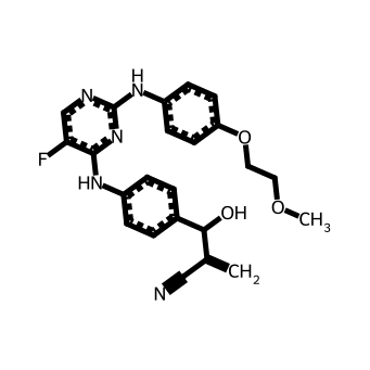 C=C(C#N)C(O)c1ccc(Nc2nc(Nc3ccc(OCCOC)cc3)ncc2F)cc1